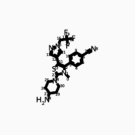 CN1C(c2ccc(C#N)cc2)=C(c2cnn(CC(F)(F)F)c2)SC1N1CCC(N)CC1